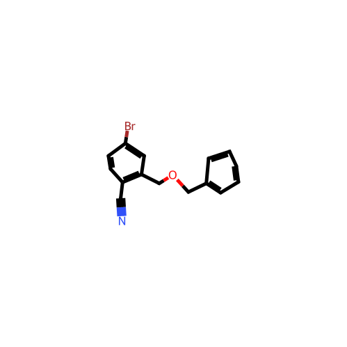 N#Cc1ccc(Br)cc1COCc1ccccc1